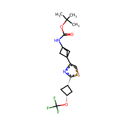 CC(C)(C)OC(=O)NC12CC(c3csc([C@H]4C[C@@H](OC(F)(F)F)C4)n3)(C1)C2